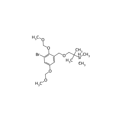 COCOc1cc(Br)c(OCOC)c(COCC(C)(C)[SiH](C)C)c1